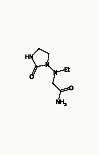 CCN(CC(N)=O)N1CCNC1=O